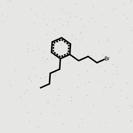 CCCCc1ccccc1CCCBr